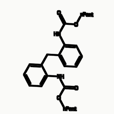 CCCCCOC(=O)Nc1ccccc1Cc1ccccc1NC(=O)OCCCCC